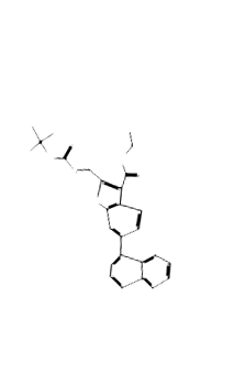 CCOC(=O)c1c(CNC(=O)OC(C)(C)C)sc2cc(-c3cccc4ccccc34)ccc12